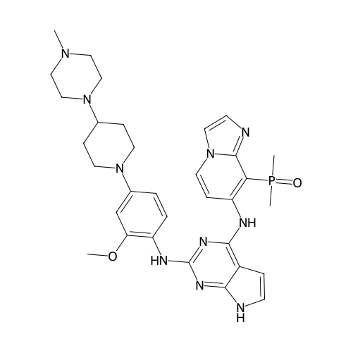 COc1cc(N2CCC(N3CCN(C)CC3)CC2)ccc1Nc1nc(Nc2ccn3ccnc3c2P(C)(C)=O)c2cc[nH]c2n1